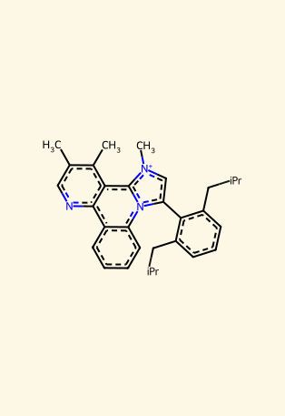 Cc1cnc2c3ccccc3n3c(-c4c(CC(C)C)cccc4CC(C)C)c[n+](C)c3c2c1C